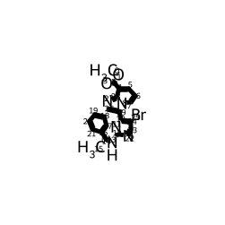 COC(=O)c1cccn2c(-c3nc(N[C@@H](C)c4ccccc4)ncc3Br)cnc12